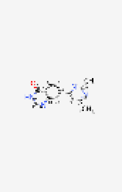 Cc1cc(-c2ccc3c(=O)[nH]cnc3c2)nc(C)n1